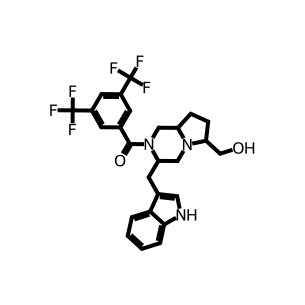 O=C(c1cc(C(F)(F)F)cc(C(F)(F)F)c1)N1CC2CCC(CO)N2CC1Cc1c[nH]c2ccccc12